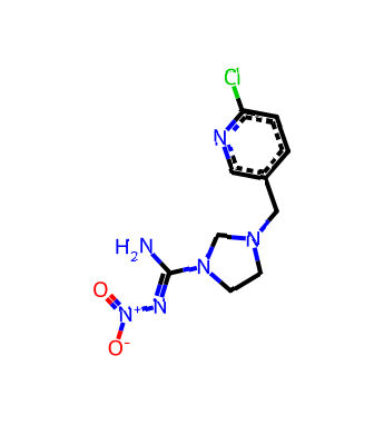 NC(=N[N+](=O)[O-])N1CCN(Cc2ccc(Cl)nc2)C1